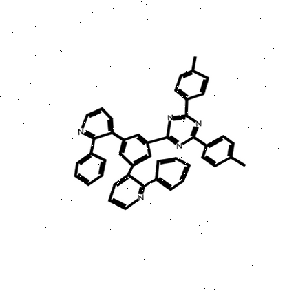 Cc1ccc(-c2nc(-c3ccc(C)cc3)nc(-c3cc(-c4cccnc4-c4ccccc4)cc(-c4cccnc4-c4ccccc4)c3)n2)cc1